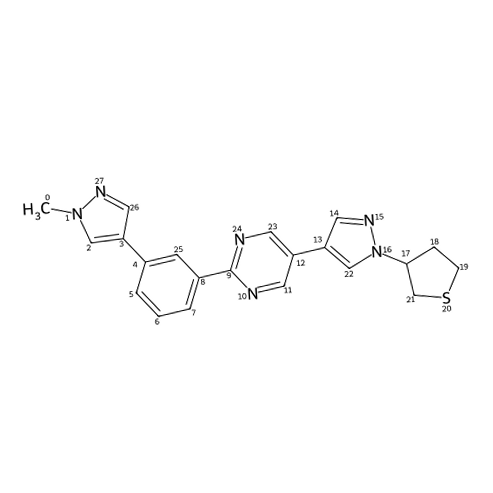 Cn1cc(-c2cccc(-c3ncc(-c4cnn(C5CCSC5)c4)cn3)c2)cn1